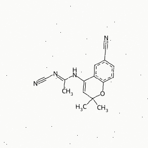 C/C(=N\C#N)NC1=CC(C)(C)Oc2ccc(C#N)cc21